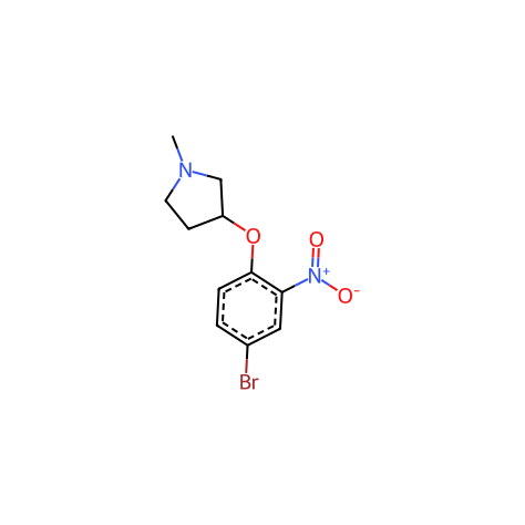 CN1CCC(Oc2ccc(Br)cc2[N+](=O)[O-])C1